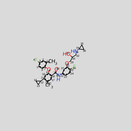 Cc1cc(F)ccc1Oc1cc(C2CC2)c(C(F)(F)F)cc1C(=O)Nc1ccc(F)c(OCC(O)CNC2CC2)c1